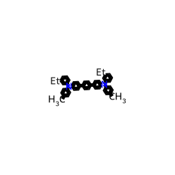 CCc1cccc(N(c2ccc(C)cc2)c2ccc(-c3ccc(-c4ccc(N(c5ccc(C)cc5)c5cccc(CC)c5)cc4)cc3)cc2)c1